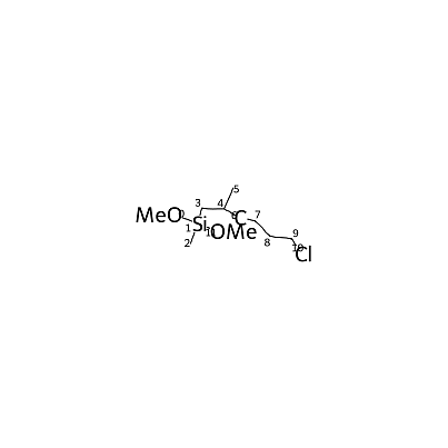 CO[Si](C)(CC(C)CCCCCl)OC